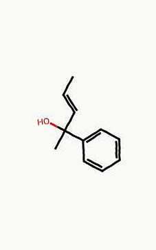 CC=CC(C)(O)c1ccccc1